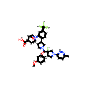 COC[C@H]1CN(C(=O)[C@]2(F)CN(c3ccc(C)nn3)C[C@H]2c2ccc(OC)cc2)C[C@@H]1c1ccc(C(F)(F)F)cc1N1CCC(C(=O)O)CC1